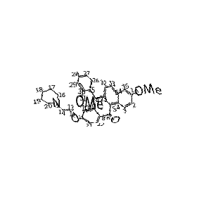 COc1ccc2c(C(=O)c3ccc(OCCN4CCCCC4)cc3)c(Cc3ccccc3OC)ccc2c1